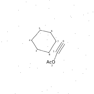 C#COC(C)=O.C1CCCCC1